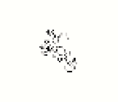 C=CCC1(CC=C)C(=O)C(C#N)(C#N)C[C@@]2(C)C1=CC[C@@H]1[C@@H]2CC[C@@]2(C)[C@H]1CCC21OCCO1